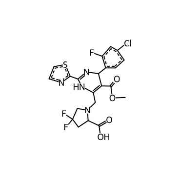 COC(=O)C1=C(CN2CC(F)(F)CC2C(=O)O)NC(c2nccs2)=NC1c1ccc(Cl)cc1F